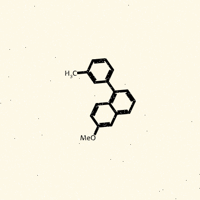 COc1ccc2c(-c3cccc(C)c3)cccc2c1